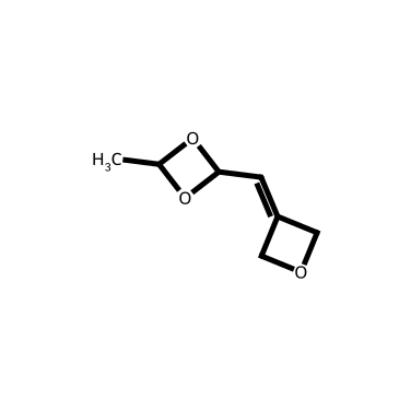 CC1OC(C=C2COC2)O1